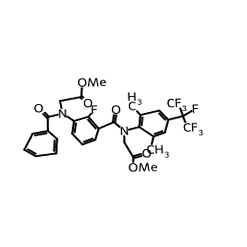 COC(=O)CN(C(=O)c1ccccc1)c1cccc(C(=O)N(CC(=O)OC)c2c(C)cc(C(F)(C(F)(F)F)C(F)(F)F)cc2C)c1F